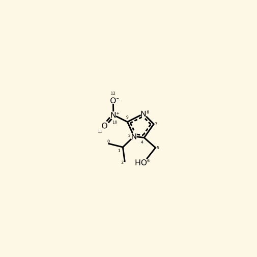 CC(C)n1c(CO)cnc1[N+](=O)[O-]